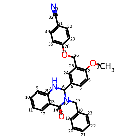 COc1ccc(C2Nc3ccccc3C(=O)N2Cc2ccccc2)cc1COc1ccc(C#N)cc1